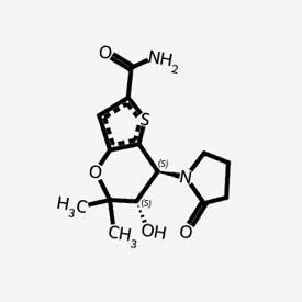 CC1(C)Oc2cc(C(N)=O)sc2[C@@H](N2CCCC2=O)[C@@H]1O